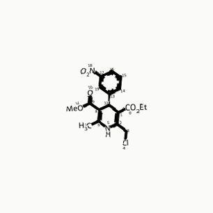 CCOC(=O)C1=C(CCl)NC(C)=C(C(=O)OC)[C@H]1c1cccc([N+](=O)[O-])c1